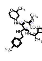 C\N=C(/N=C(NN1CCOC(C(F)(F)F)C1)\C(=C\N[C@H](C)C1CCC1)NCc1ccc(C(F)(F)F)cc1)C(=O)O